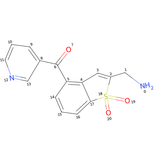 NCC1=Cc2c(C(=O)c3cccnc3)cccc2S1(=O)=O